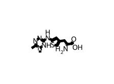 CC1=NN=C(Nc2cc(C[C@H](N)C(=O)O)cs2)NN1C